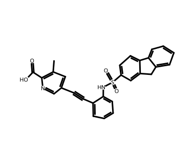 Cc1cc(C#Cc2ccccc2NS(=O)(=O)c2ccc3c(c2)Cc2ccccc2-3)cnc1C(=O)O